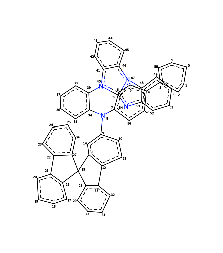 c1ccc(-c2ccc(N(c3ccc4c(c3)C3(c5ccccc5-c5ccccc53)c3ccccc3-4)c3ccccc3-n3c4ccccc4n4c5ccccc5nc34)cc2)cc1